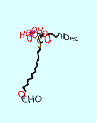 CCCCCCCCCCCCC(=O)O[C@H](COP(=O)(O)O)CSCCCCCCCCCCCCCOC=O